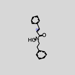 O=C(/C=C/c1ccccc1)N(O)CCc1ccccc1